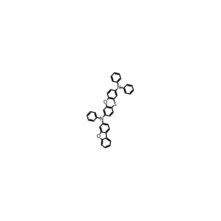 c1ccc(N(c2ccccc2)c2ccc3c(c2)Sc2ccc(N(c4ccccc4)c4ccc5c(c4)oc4ccccc45)cc2O3)cc1